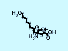 CCCCCCCC=CC(N)(CCC(=O)O)C(=O)O